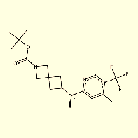 Cc1cc([C@@H](C)C2CC3(C2)CN(C(=O)OC(C)(C)C)C3)ncc1C(F)(F)F